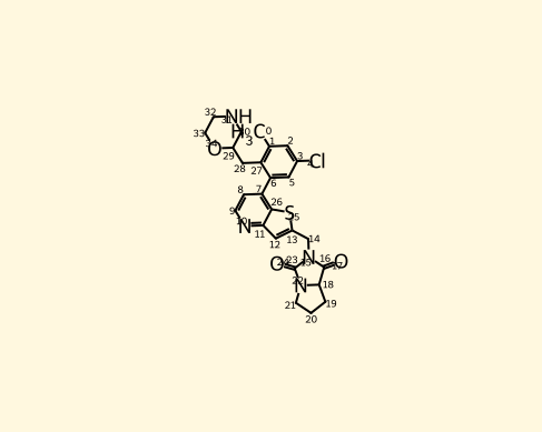 Cc1cc(Cl)cc(-c2ccnc3cc(CN4C(=O)C5CCCN5C4=O)sc23)c1CC1CNCCO1